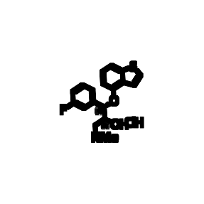 CNC[C@H](O)[C@H](Oc1cccc2sccc12)c1cccc(F)c1.Cl